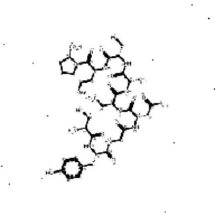 CSCC[C@H](NC(=O)[C@H](CC(C)C)NC(=O)[C@H](C)NC(=O)[C@H](CC(=O)O)NC(=O)[C@H](CC(N)=O)NC(=O)CNC(=O)[C@H](Cc1ccc(O)cc1)NC(=O)[C@@H](N)CO)C(=O)N1CCC[C@H]1C(=O)O